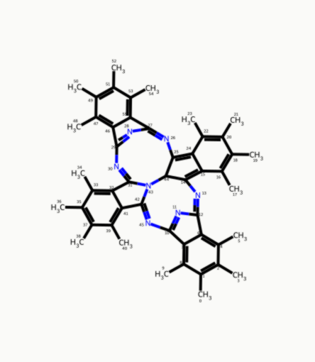 Cc1c(C)c(C)c2c(c1C)C1=NC/2=N\C2=c3c(C)c(C)c(C)c(C)c3=C3/N=C4N=C(/N=c5/c6c(C)c(C)c(C)c(C)c6/c(n5C23)=N/1)c1c(C)c(C)c(C)c(C)c1\4